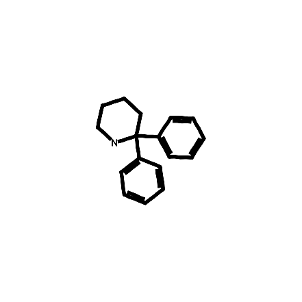 c1ccc(C2(c3ccccc3)CCCC[N]2)cc1